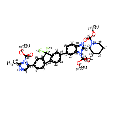 Cc1ncc(-c2ccc3c(c2)C(F)(F)c2cc(-c4ccc5nc([C@@H]6[C@H](C)CCCN6C(=O)OC(C)(C)C)n(C(=O)OC(C)(C)C)c5c4)ccc2-3)n1C(=O)OC(C)(C)C